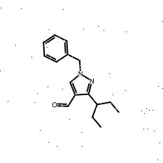 CCC(CC)c1nn(Cc2ccccc2)cc1C=O